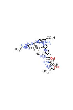 CC(C)[C@H](N)C(=O)O.C[C@@H](O)[C@H](N)C(=O)O.C[C@H](N)C(=O)O.C[C@H](N)C(=O)O.NCC(=O)O.N[C@@H](CO)C(=O)O.N[C@@H](Cc1c[nH]cn1)C(=O)O.O=C(O)[C@@H]1CCCN1.O=C(O)[C@@H]1CCCN1